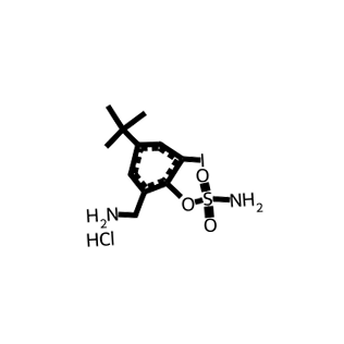 CC(C)(C)c1cc(I)c(OS(N)(=O)=O)c(CN)c1.Cl